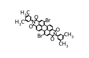 Cc1cc(C)cc(N2C(=O)c3ccc4c5c(Br)cc6c7c(ccc(c8c(Br)cc(c3c48)C2=O)c75)C(=O)N(c2cc(C)cc(C)c2)C6=O)c1